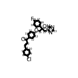 O=C(C=Cc1ccc(Cl)cc1)c1ccc(OCC(O)(Cn2cncn2)c2ccc(F)cc2)cc1